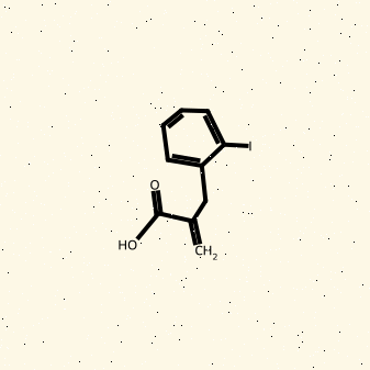 C=C(Cc1ccccc1I)C(=O)O